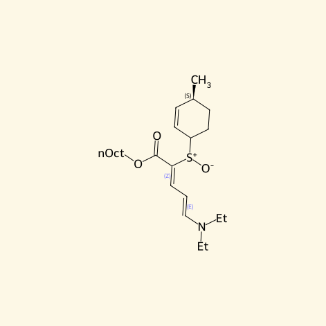 CCCCCCCCOC(=O)/C(=C/C=C/N(CC)CC)[S+]([O-])C1C=C[C@@H](C)CC1